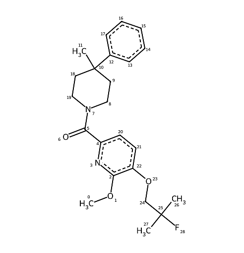 COc1nc(C(=O)N2CCC(C)(c3ccccc3)CC2)ccc1OCC(C)(C)F